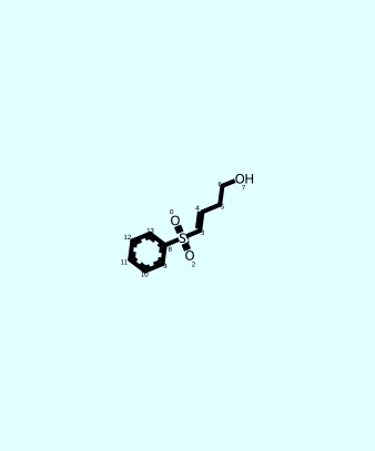 O=S(=O)(C=CCCO)c1ccccc1